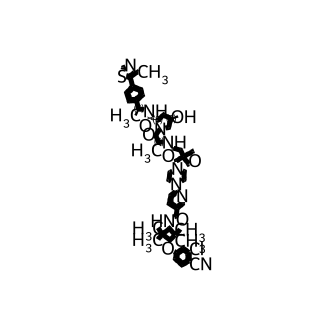 Cc1ncsc1-c1ccc([C@H](C)NC(=O)[C@@H]2C[C@@H](O)CN2C(=O)[C@H](C)NC(=O)CC2(CN3CCN(c4ccc(C(=O)N[C@H]5C(C)(C)[C@H](Oc6ccc(C#N)c(Cl)c6)C5(C)C)cn4)CC3)COC2)cc1